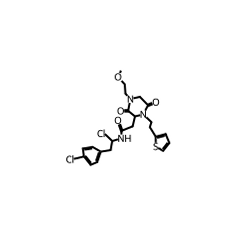 COCCN1CC(=O)N(CCc2cccs2)C(CC(=O)NC(Cl)Cc2ccc(Cl)cc2)C1=O